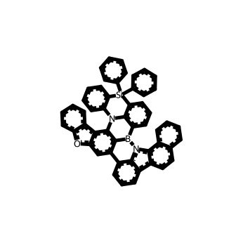 c1ccc([Si]2(c3ccccc3)c3ccccc3N3c4c(cccc42)B2c4c(cc5oc6ccccc6c5c43)-c3cccc4c5ccc6ccccc6c5n2c34)cc1